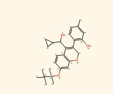 Cc1ccc(C2=C(C(O)C3CC3)c3ccc(O[Si](C)(C)C(C)(C)C)cc3OC2)c(O)c1